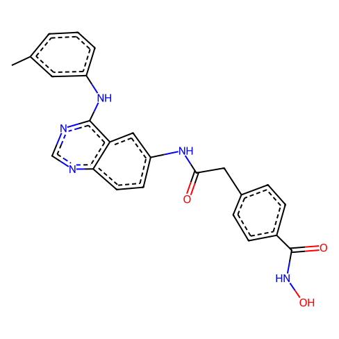 Cc1cccc(Nc2ncnc3ccc(NC(=O)Cc4ccc(C(=O)NO)cc4)cc23)c1